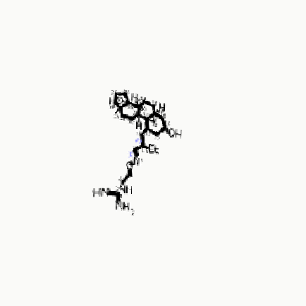 CCC(/C=N/OCCNC(=N)N)=C\C1C[C@H](O)C[C@H]2CC[C@@H]3[C@H](CC[C@]4(C)CCC[C@]34O)[C@@]12C